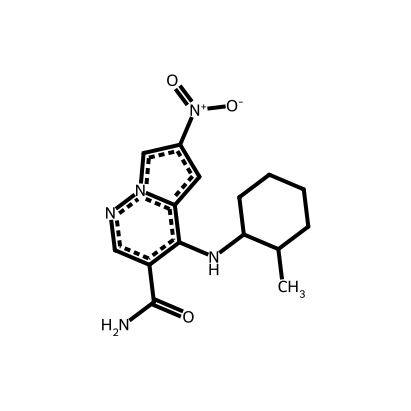 CC1CCCCC1Nc1c(C(N)=O)cnn2cc([N+](=O)[O-])cc12